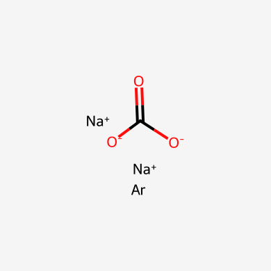 O=C([O-])[O-].[Ar].[Na+].[Na+]